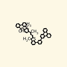 C=c1/c(=C\C=C(/C)C2=CC3(C)c4cccc5c6ccccc6c(=O)n(c45)[C@@H]3C=C2)sc2c(-c3cccc(-c4ccc5c(c4)c4c(c6ccccc65)C=CCC4)c3)cccc12